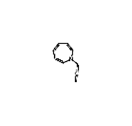 C=C=CN1C=CC=CC=C1